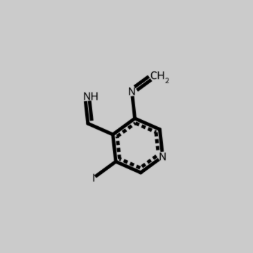 C=Nc1cncc(I)c1C=N